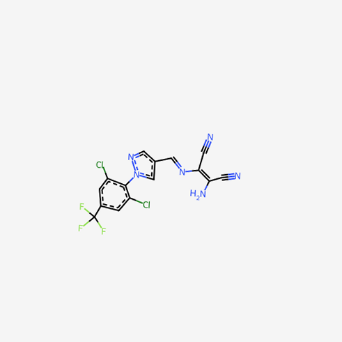 N#CC(N)=C(C#N)N=Cc1cnn(-c2c(Cl)cc(C(F)(F)F)cc2Cl)c1